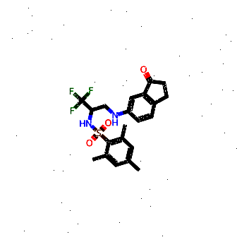 Cc1cc(C)c(S(=O)(=O)NC(CNc2ccc3c(c2)C(=O)CC3)C(F)(F)F)c(C)c1